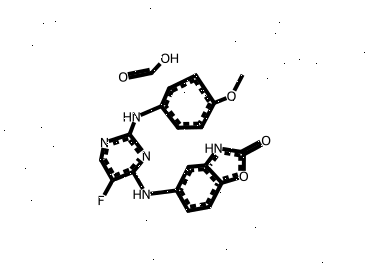 COc1ccc(Nc2ncc(F)c(Nc3ccc4oc(=O)[nH]c4c3)n2)cc1.O=CO